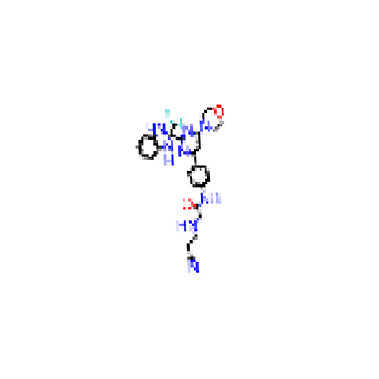 N#CCCNCC(=O)Nc1ccc(-c2cc(N3CCOCC3)nc(C3(C(F)F)Nc4ccccc4N3)n2)cc1